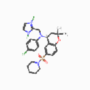 CC1(C)C[C@H](N(Cc2n(F)cc[n+]2F)c2ccc(Cl)cc2)c2cc(S(=O)(=O)N3CCCCC3)ccc2O1